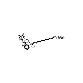 CNCCCCCCCCCCCC(=O)Nc1ccccc1C(=O)NC1=NC(C)C(C)S1